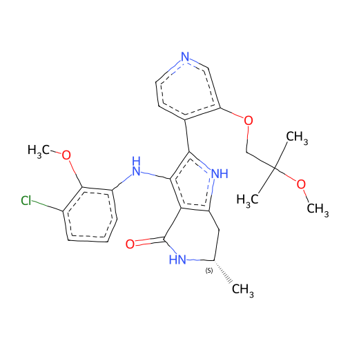 COc1c(Cl)cccc1Nc1c(-c2ccncc2OCC(C)(C)OC)[nH]c2c1C(=O)N[C@@H](C)C2